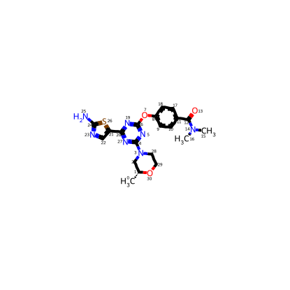 C[C@@H]1CN(c2nc(Oc3ccc(C(=O)N(C)C)cc3)nc(-c3cnc(N)s3)n2)CCO1